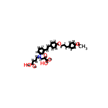 COc1ccc(CCCOc2ccc(C=Cc3cccc4c3OC(C(=O)O)CN4CCCC(=O)O)cc2)cc1